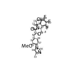 COc1cc(C=C2O[C@@H](C)CN([C@](C)(CO)c3cc(F)c(F)c(F)c3)C2=O)ccc1-n1cnc(C)c1